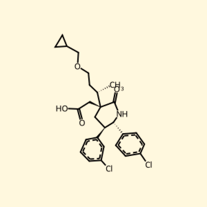 C[C@@H](CCOCC1CC1)[C@@]1(CC(=O)O)C[C@H](c2cccc(Cl)c2)[C@@H](c2ccc(Cl)cc2)NC1=O